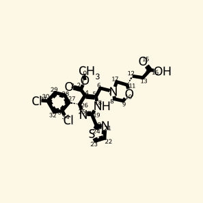 COC(=O)C1=C(CN2CCO[C@@H](CCC(=O)O)C2)NC(c2nccs2)=N[C@@H]1c1ccc(Cl)cc1Cl